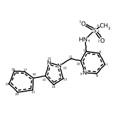 CS(=O)(=O)Nc1cccnc1Cn1ccc(-c2ccccc2)n1